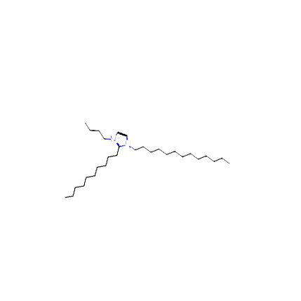 CCCCCCCCCCCCCn1cc[n+](CCCC)c1CCCCCCCCCC